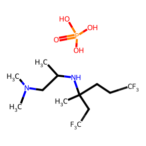 CC(CN(C)C)NC(C)(CCC(F)(F)F)CC(F)(F)F.O=P(O)(O)O